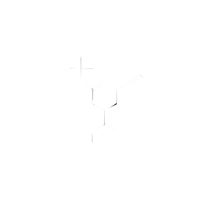 COC(=O)[C@H](CCC#N)NC(=O)OC(C)(C)C